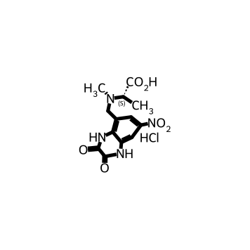 C[C@@H](C(=O)O)N(C)Cc1cc([N+](=O)[O-])cc2[nH]c(=O)c(=O)[nH]c12.Cl